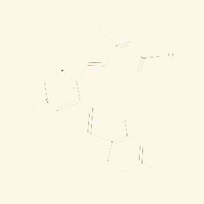 COC(=O)/C=C(C)\C=C\[C@@]1(O)C(/C=C/c2ccc(Cl)cc2Cl)=CC(=O)CC1(C)C